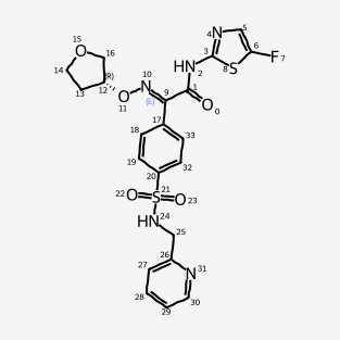 O=C(Nc1ncc(F)s1)/C(=N/O[C@@H]1CCOC1)c1ccc(S(=O)(=O)NCc2ccccn2)cc1